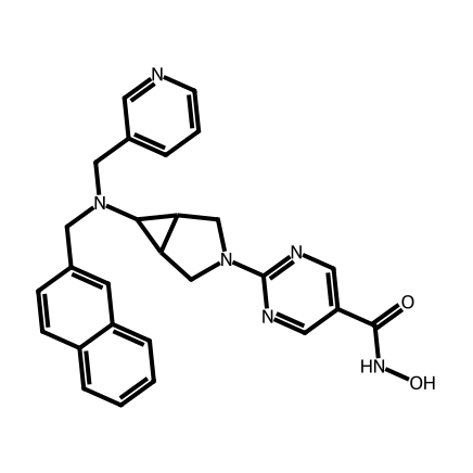 O=C(NO)c1cnc(N2CC3C(C2)C3N(Cc2cccnc2)Cc2ccc3ccccc3c2)nc1